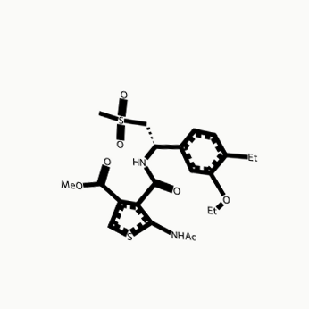 CCOc1cc([C@@H](CS(C)(=O)=O)NC(=O)c2c(C(=O)OC)csc2NC(C)=O)ccc1CC